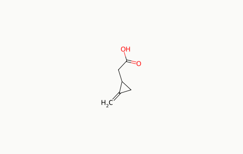 C=C1CC1CC(=O)O